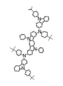 C=C(C)c1ccc(-n2c3ccccc3c3cc(N(c4ccc(C(C)(C)C)cc4)c4ccc5c(c4)c4cc6c(cc4n5-c4ccccc4)c4cc(N(c5ccc(C(C)(C)C)cc5)c5ccc7c(c5)c5ccccc5n7-c5ccc(C(C)(C)C)cc5)ccc4n6-c4ccccc4)ccc32)cc1